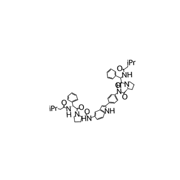 CC(C)CC(=O)N[C@@H](C(=O)N1CCC[C@H]1C(=O)Nc1ccc(-c2cc3cc(NC(=O)[C@@H]4CCCN4C(=O)[C@H](NC(=O)CC(C)C)c4ccccc4)ccc3[nH]2)cc1)c1ccccc1